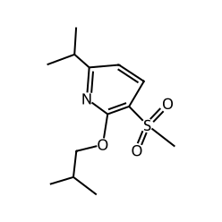 CC(C)COc1nc(C(C)C)ccc1S(C)(=O)=O